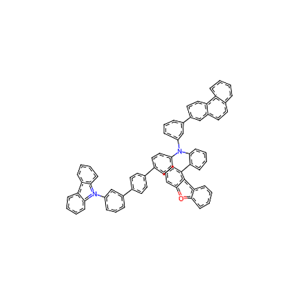 c1cc(-c2ccc3c(ccc4ccccc43)c2)cc(N(c2ccc(-c3ccc(-c4cccc(-n5c6ccccc6c6ccccc65)c4)cc3)cc2)c2ccccc2-c2cccc3oc4ccccc4c23)c1